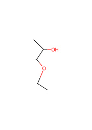 CCO[CH]C(C)O